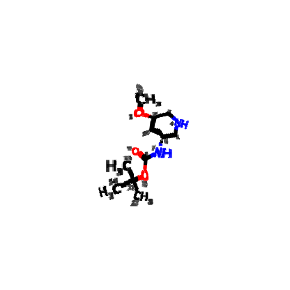 CO[C@H]1CNC[C@H](NC(=O)OC(C)(C)C)C1